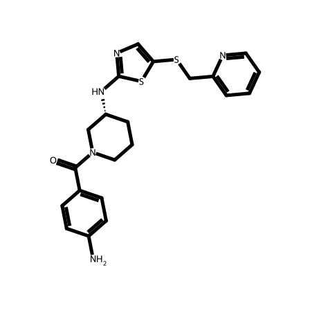 Nc1ccc(C(=O)N2CCC[C@@H](Nc3ncc(SCc4ccccn4)s3)C2)cc1